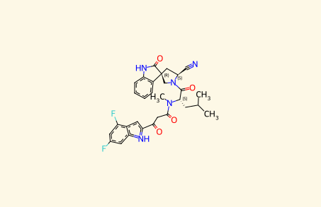 CC(C)C[C@@H](C(=O)N1C[C@]2(C[C@H]1C#N)C(=O)Nc1ccccc12)N(C)C(=O)CC(=O)c1cc2c(F)cc(F)cc2[nH]1